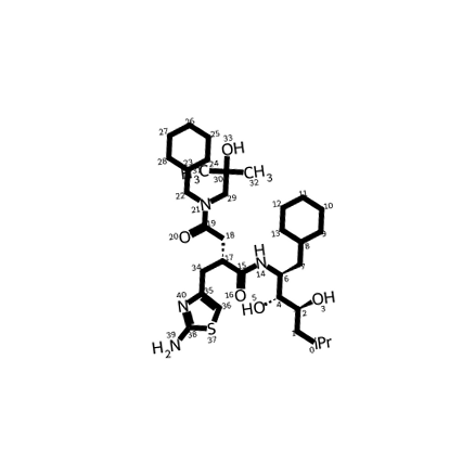 CC(C)C[C@H](O)[C@H](O)[C@H](CC1CCCCC1)NC(=O)[C@@H](CC(=O)N(CC1CCCCC1)CC(C)(C)O)Cc1csc(N)n1